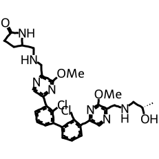 COc1nc(-c2cccc(-c3cccc(-c4cnc(CNC[C@H](C)O)c(OC)n4)c3Cl)c2Cl)cnc1CNCC1CCC(=O)N1